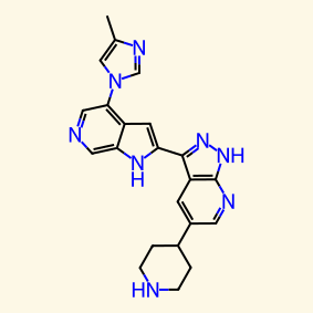 Cc1cn(-c2cncc3[nH]c(-c4n[nH]c5ncc(C6CCNCC6)cc45)cc23)cn1